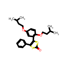 CC(C)CCOc1ccc(OCCC(C)C)c(-c2sc(=O)sc2-c2ccccc2)c1